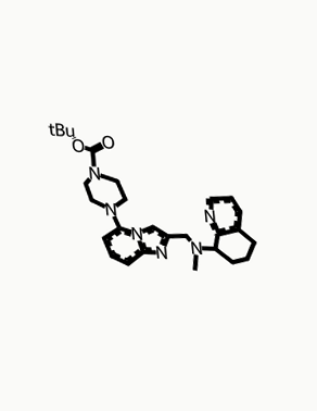 CN(Cc1cn2c(N3CCN(C(=O)OC(C)(C)C)CC3)cccc2n1)C1CCCc2cccnc21